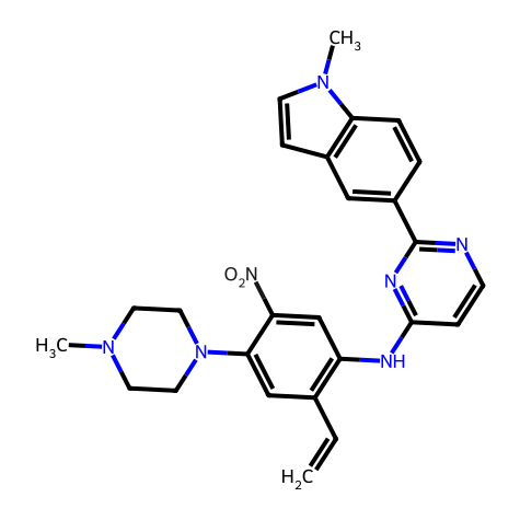 C=Cc1cc(N2CCN(C)CC2)c([N+](=O)[O-])cc1Nc1ccnc(-c2ccc3c(ccn3C)c2)n1